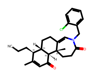 CC1=CC(=O)[C@H]2[C@@H](CCC3=CN(Cc4ccccc4Cl)C(=O)CC[C@@]32C)[C@@H]1CCC#N